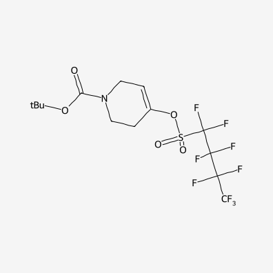 CC(C)(C)OC(=O)N1CC=C(OS(=O)(=O)C(F)(F)C(F)(F)C(F)(F)C(F)(F)F)CC1